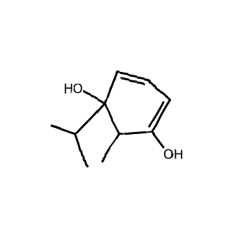 CC(C)C1(O)C=CC=C(O)C1C